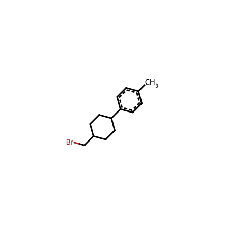 Cc1ccc(C2CCC(CBr)CC2)cc1